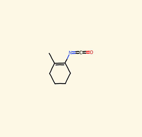 CC1=C(N=C=O)CCCC1